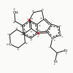 CCC(CC)Cn1ncc2/c1=N\C(N1CCOCC1)=C/CC/C=2c1cccc(CO)c1